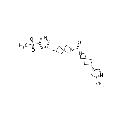 CS(=O)(=O)c1cncc(CC2CC3(C2)CN(C(=O)N2CC4(CC(n5cnc(C(F)(F)F)n5)C4)C2)C3)c1